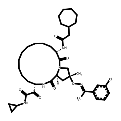 C/C(=N\O[C@]1(C)C[C@H]2C(=O)N[C@H](C(=O)C(=O)NC3CC3)CCCCCCCCC[C@H](NC(=O)CC3CCCCCC3)C(=O)N2C1)c1cccc(Cl)c1